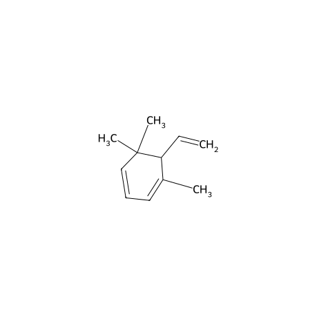 C=CC1C(C)=CC=CC1(C)C